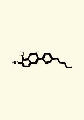 CCCCCc1ccc(-c2ccc3c(Cl)c(O)ccc3c2)cc1